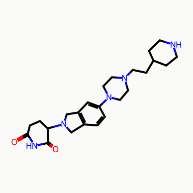 O=C1CCC(N2Cc3ccc(N4CCN(CCC5CCNCC5)CC4)cc3C2)C(=O)N1